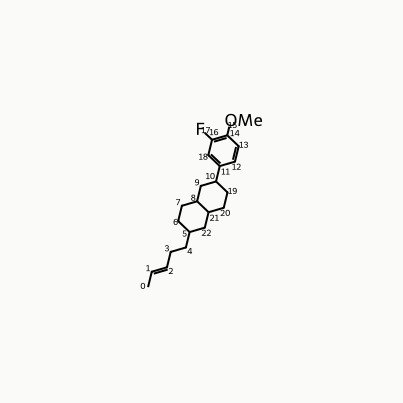 C/C=C/CCC1CCC2CC(c3ccc(OC)c(F)c3)CCC2C1